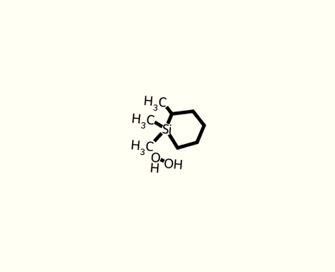 CC1CCCC[Si]1(C)C.OO